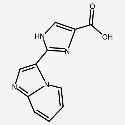 O=C(O)c1c[nH]c(-c2cnc3ccccn23)n1